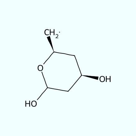 [CH2][C@H]1C[C@@H](O)CC(O)O1